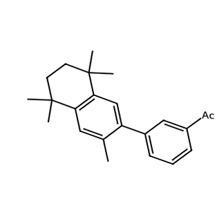 CC(=O)c1cccc(-c2cc3c(cc2C)C(C)(C)CCC3(C)C)c1